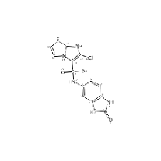 O=c1[nH]c2ccc(NS(=O)(=O)c3c(Cl)nc4sccn34)cc2s1